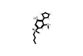 CCCC[Si](C)(C)c1cc(O)c(C2CCCC2)c(OC)c1